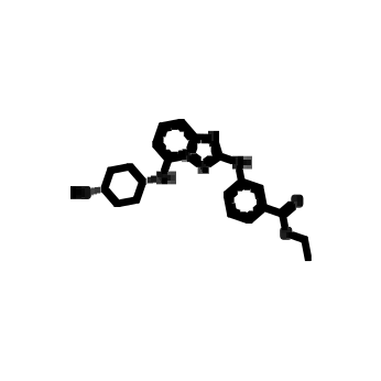 CCOC(=O)c1cccc(Nc2nc3cccc(N[C@H]4CC[C@@H](O)CC4)n3n2)c1